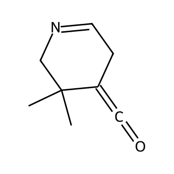 CC1(C)CN=CCC1=C=O